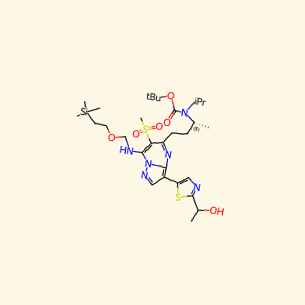 CC(O)c1ncc(-c2cnn3c(NCOCC[Si](C)(C)C)c(S(C)(=O)=O)c(CC[C@@H](C)N(C(=O)OC(C)(C)C)C(C)C)nc23)s1